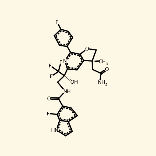 C[C@]1(CC(N)=O)COc2c1cc([C@@](O)(CNC(=O)c1ccc3cc[nH]c3c1F)C(F)(F)F)nc2-c1ccc(F)cc1